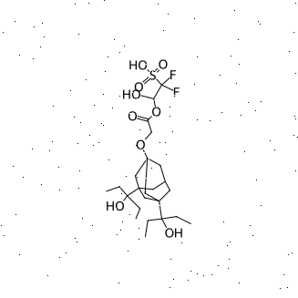 CCC(O)(CC)C12CC3CC(OCC(=O)OC(O)C(F)(F)S(=O)(=O)O)(C1)CC(C(O)(CC)CC)(C3)C2